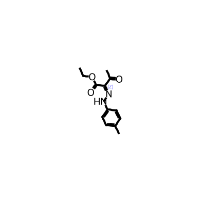 CCOC(=O)/C(=N\Nc1ccc(C)cc1)C(C)=O